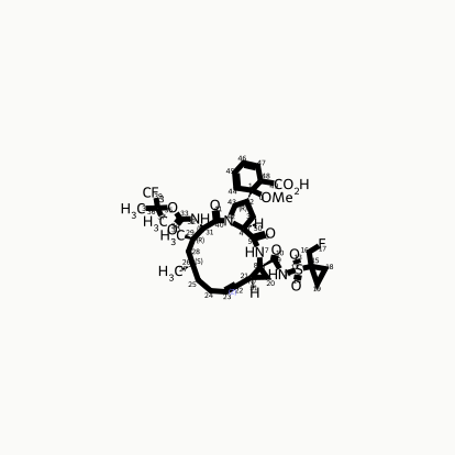 COC1([C@@H]2C[C@H]3C(=O)N[C@]4(C(=O)NS(=O)(=O)C5(CF)CC5)C[C@H]4/C=C\CC[C@H](C)C[C@@H](C)[C@H](NC(=O)OC(C)(C)C(F)(F)F)C(=O)N3C2)C=CC=CC1C(=O)O